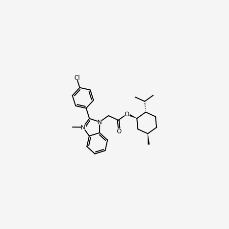 CC(C)[C@@H]1CC[C@@H](C)C[C@H]1OC(=O)Cn1c(-c2ccc(Cl)cc2)[n+](C)c2ccccc21